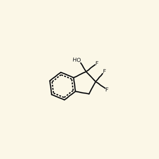 OC1(F)c2ccccc2CC1(F)F